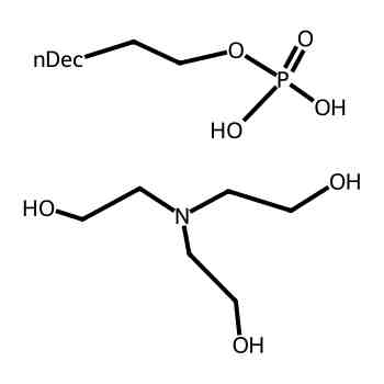 CCCCCCCCCCCCOP(=O)(O)O.OCCN(CCO)CCO